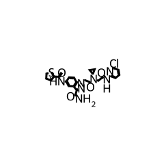 NC(=O)c1nn(CC(=O)N(CC(=O)Nc2cccc(Cl)n2)C2CC2)c2ccc(NC(=O)C3CCCS3)cc12